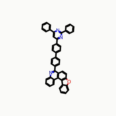 c1ccc(-c2cc(-c3ccc(-c4ccc(-c5nc6ccccc6c6c5ccc5oc7ccccc7c56)cc4)cc3)nc(-c3ccccc3)n2)cc1